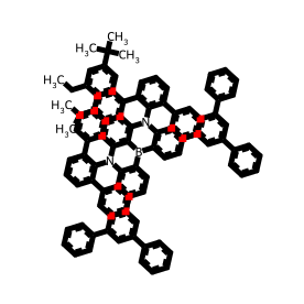 CCc1cc(C(C)(C)C)ccc1N(c1cc2c3c(c1)N(c1c(-c4ccccc4)cccc1-c1ccccc1)c1cc(-c4cc(-c5ccccc5)cc(-c5ccccc5)c4)ccc1B3c1ccc(-c3cc(-c4ccccc4)cc(-c4ccccc4)c3)cc1N2c1c(-c2ccccc2)cccc1-c1ccccc1)C(C)C